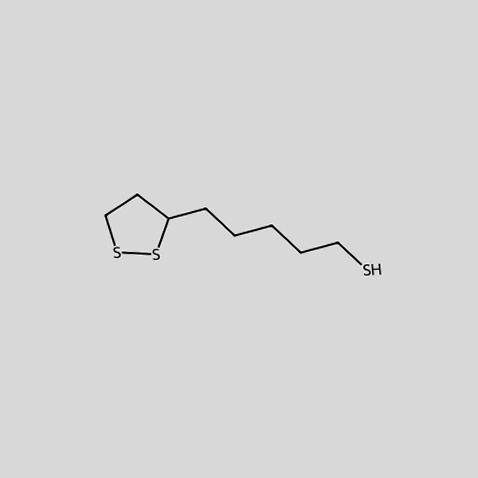 SCCCCCC1CCSS1